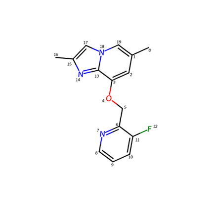 Cc1cc(OCc2ncccc2F)c2nc(C)cn2c1